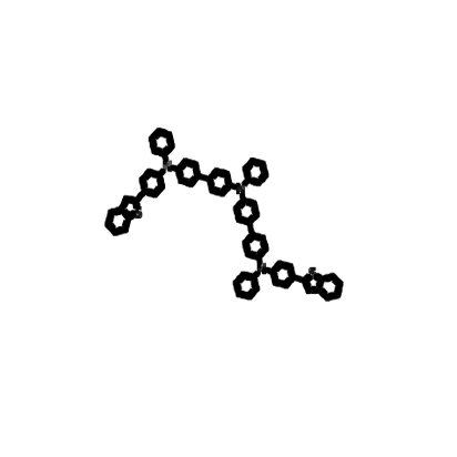 c1ccc(N(c2ccc(-c3ccc(N(c4ccccc4)c4ccc(-c5cc6ccccc6s5)cc4)cc3)cc2)c2ccc(-c3ccc(N(c4ccccc4)c4ccc(-c5cc6ccccc6s5)cc4)cc3)cc2)cc1